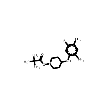 Cc1cc(N)c(NC2CCN(OC(=O)C(C)(C)C)CC2)cc1F